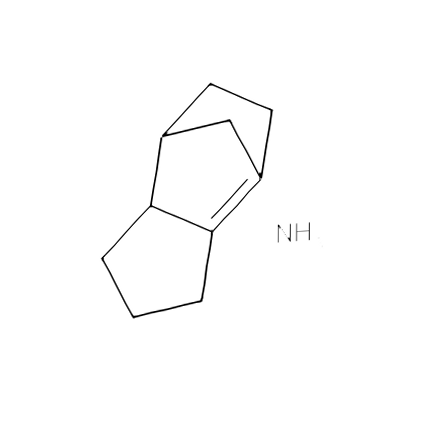 C1CC2=C3CCC(C3)C2C1.N